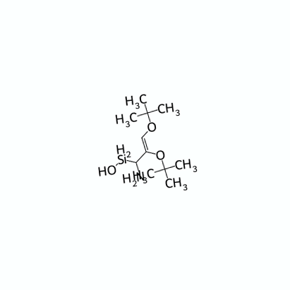 CC(C)(C)OC=C(OC(C)(C)C)C(N)[SiH2]O